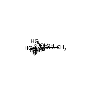 CCCCC/C=C/CC(O)/C=C/c1cccc(C(SC[C@H](NC(=O)C(F)(F)F)C(=O)NCC(=O)O)C(O)CCCCO)c1